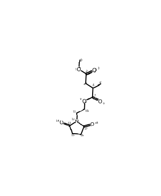 COC(=O)CC(C)C(=O)OCCN1C(=O)CCC1=O